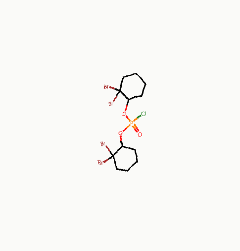 O=P(Cl)(OC1CCCCC1(Br)Br)OC1CCCCC1(Br)Br